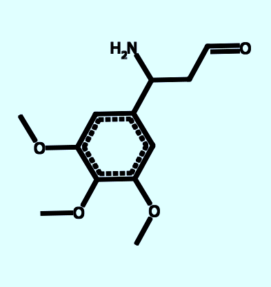 COc1cc(C(N)CC=O)cc(OC)c1OC